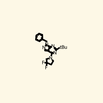 CC(C)(C)c1nc(N2CCC(F)(F)C2)c2cnn(Cc3ccccc3)c2n1